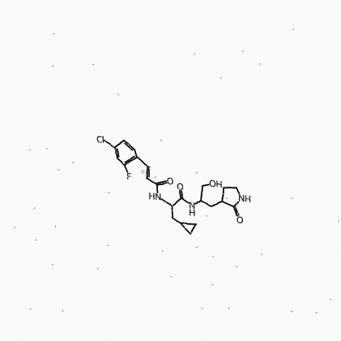 O=C(/C=C/c1ccc(Cl)cc1F)NC(CC1CC1)C(=O)NC(CO)CC1CCNC1=O